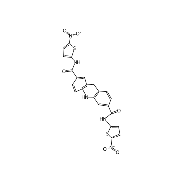 O=C(Nc1ccc([N+](=O)[O-])s1)c1ccc2c(c1)Cc1ccc(C(=O)Nc3ccc([N+](=O)[O-])s3)cc1N2